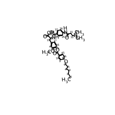 CCCCCCCOC1C=CC(C(=O)Oc2ccc(CC(NC(=O)c3ccc(NC(=O)CCN(C)C)cc3)C(=O)O)cc2OC)=CC1